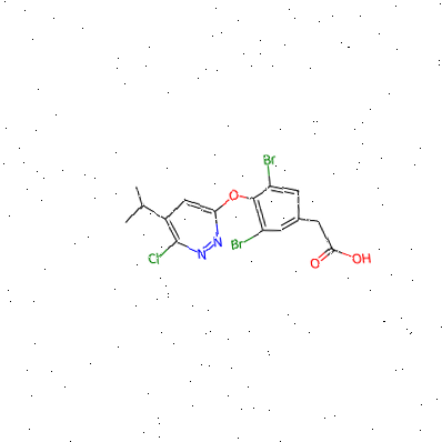 CC(C)c1cc(Oc2c(Br)cc(CC(=O)O)cc2Br)nnc1Cl